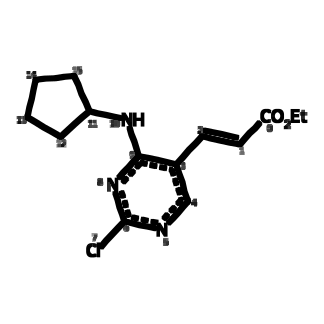 CCOC(=O)C=Cc1cnc(Cl)nc1NC1CCCC1